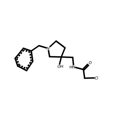 O=C(CCl)NCC1(O)CCN(Cc2ccccc2)C1